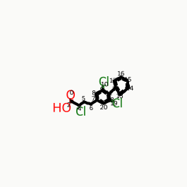 O=C(O)C(Cl)CCc1cc(Cl)c(-c2ccccc2)c(Cl)c1